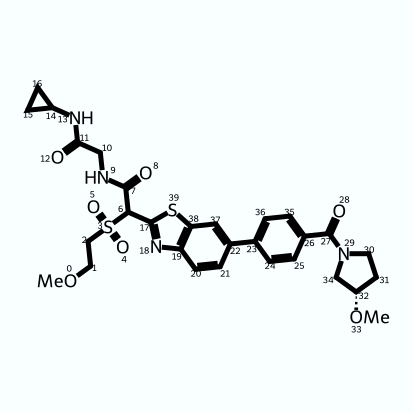 COCCS(=O)(=O)C(C(=O)NCC(=O)NC1CC1)c1nc2ccc(-c3ccc(C(=O)N4CC[C@H](OC)C4)cc3)cc2s1